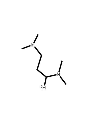 [2H]C(C[CH2][In]([CH3])[CH3])N(C)C